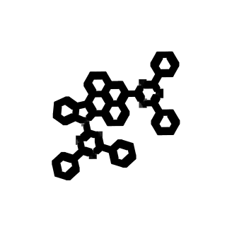 c1ccc(-c2nc(-c3ccccc3)nc(-c3cc4cccc5c4c4c3cccc4c3c5c4ccccc4n3-c3nc(-c4ccccc4)nc(-c4ccccc4)n3)n2)cc1